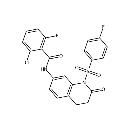 O=C(Nc1ccc2c(c1)N(S(=O)(=O)c1ccc(F)cc1)C(=O)CC2)c1c(F)cccc1Cl